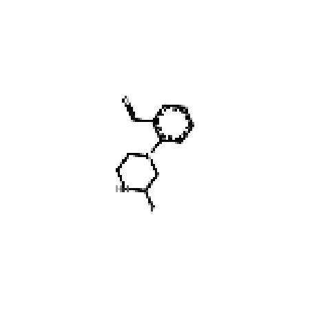 O=Cc1ccccc1N1CCNC(F)C1